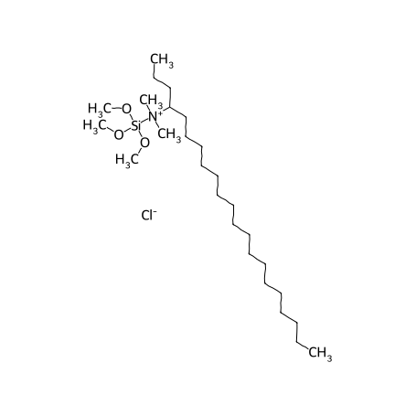 CCCCCCCCCCCCCCCCCC(CCC)[N+](C)(C)[Si](OC)(OC)OC.[Cl-]